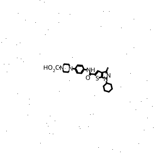 Cc1nn(C2CCCCC2)c2sc(C(=O)Nc3ccc(N4CCN(C(=O)O)CC4)cc3)cc12